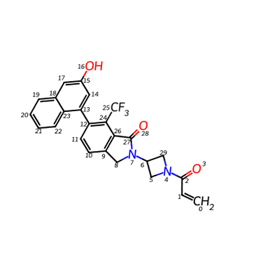 C=CC(=O)N1CC(N2Cc3ccc(-c4cc(O)cc5ccccc45)c(C(F)(F)F)c3C2=O)C1